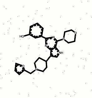 Oc1cccc(-c2nc(N3CCOCC3)c3[nH]cc(C4CCN(Cc5ccco5)CC4)c3n2)c1